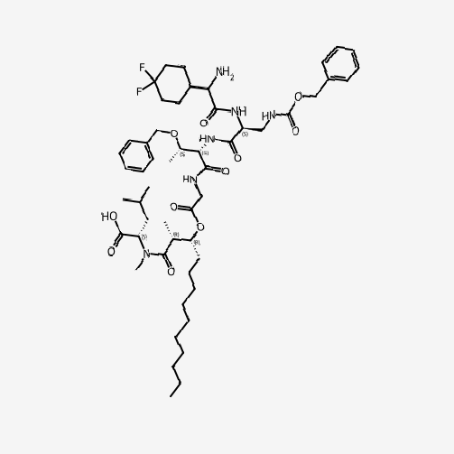 CCCCCCCCCC[C@@H](OC(=O)CNC(=O)[C@@H](NC(=O)[C@H](CNC(=O)OCc1ccccc1)NC(=O)C(N)C1CCC(F)(F)CC1)[C@H](C)OCc1ccccc1)[C@@H](C)C(=O)N(C)[C@@H](CC(C)C)C(=O)O